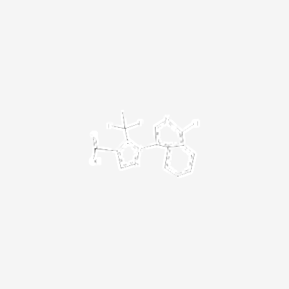 CC(F)(F)c1c(C(=O)O)cnn1-c1cnc(Cl)c2ccccc12